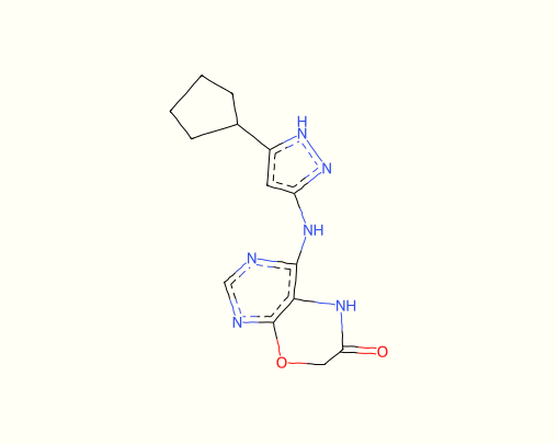 O=C1COc2ncnc(Nc3cc(C4CCCC4)[nH]n3)c2N1